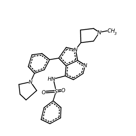 CN1CCC(n2cc(-c3cccc(N4CCCC4)c3)c3c(NS(=O)(=O)c4ccccc4)ccnc32)C1